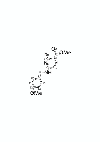 COC(=O)c1ccc(NCc2ccc(OC)cc2)nc1F